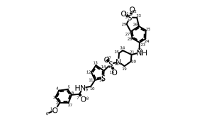 COc1cccc(C(=O)NCc2ccc(S(=O)(=O)N3CCC(Nc4ccc5c(c4)CS(=O)(=O)C5)CC3)s2)c1